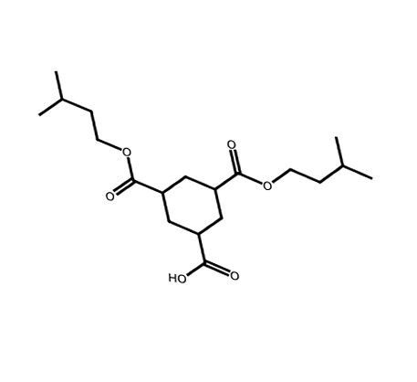 CC(C)CCOC(=O)C1CC(C(=O)O)CC(C(=O)OCCC(C)C)C1